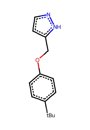 CC(C)(C)c1ccc(OCc2ccn[nH]2)cc1